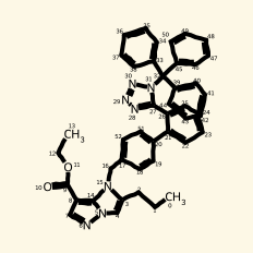 CCCc1cn2ncc(C(=O)OCC)c2n1Cc1ccc(-c2ccccc2-c2nnnn2C(c2ccccc2)(c2ccccc2)c2ccccc2)cc1